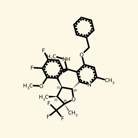 CNC(=O)c1c(OCc2ccccc2)cc(C)nc1[C@@H]1O[C@@](C)(C(F)(F)F)[C@@H](C)[C@H]1c1ccc(F)c(F)c1OC